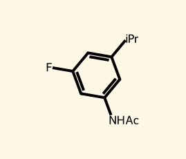 CC(=O)Nc1cc(F)cc(C(C)C)c1